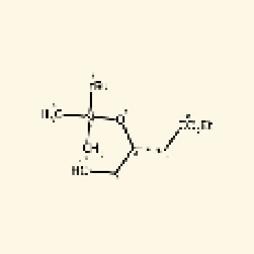 CCOC(=O)C[C@H](CO)O[Si](C)(C)C(C)(C)C